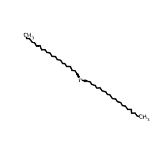 CCCCCCCCCCCCCCCCCCCCCC#C[P]C#CCCCCCCCCCCCCCCCCCCCCC